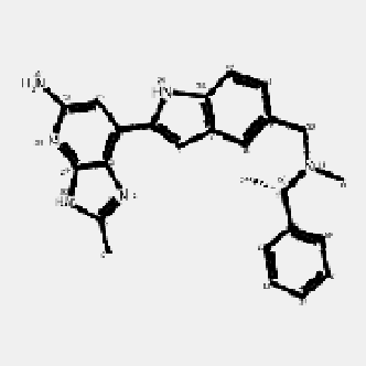 Cc1nc2c(-c3cc4cc(CN(C)[C@@H](C)c5ccccc5)ccc4[nH]3)cc(N)nc2[nH]1